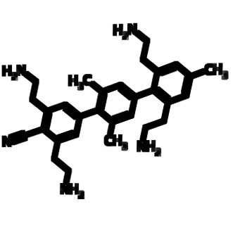 Cc1cc(CCN)c(-c2cc(C)c(-c3cc(CCN)c(C#N)c(CCN)c3)c(C)c2)c(CCN)c1